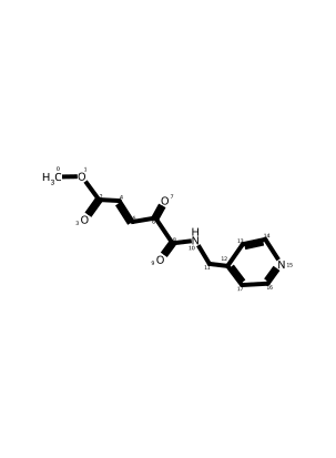 COC(=O)/C=C/C(=O)C(=O)NCc1ccncc1